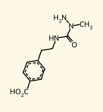 CN(N)C(=O)NCCc1ccc(C(=O)O)cc1